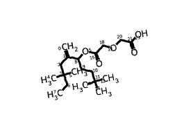 C=C(CC(C)(C)CC)C(CCC(C)(C)C)OC(=O)COCC(=O)O